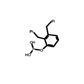 CC(C)Cc1cccc(OP(O)O)c1CC(C)C